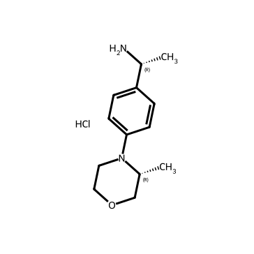 C[C@@H]1COCCN1c1ccc([C@@H](C)N)cc1.Cl